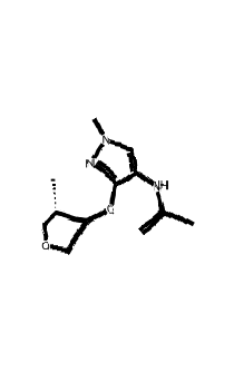 C=C(C)Nc1cn(C)nc1OC1COC[C@@H]1C